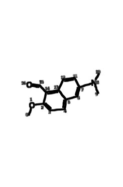 COc1ccc2cc(N(C)C)ccc2c1C=O